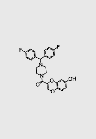 O=C(C1=COc2ccc(O)cc2O1)N1CCN(C(c2ccc(F)cc2)c2ccc(F)cc2)CC1